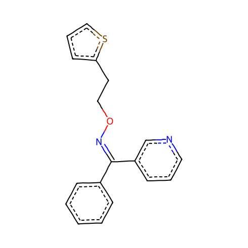 c1ccc(C(=NOCCc2cccs2)c2cccnc2)cc1